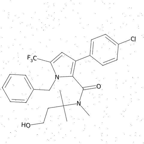 CN(C(=O)c1c(-c2ccc(Cl)cc2)cc(C(F)(F)F)n1Cc1ccccc1)C(C)(C)CCO